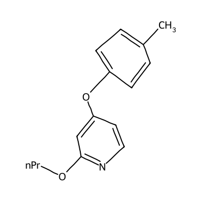 CCCOc1cc(Oc2ccc(C)cc2)ccn1